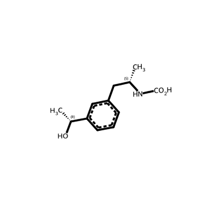 C[C@@H](Cc1cccc([C@@H](C)O)c1)NC(=O)O